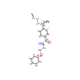 C=CCC[C@@H](CCC)c1ccc(C(=O)NCCOc2ccccc2)cc1